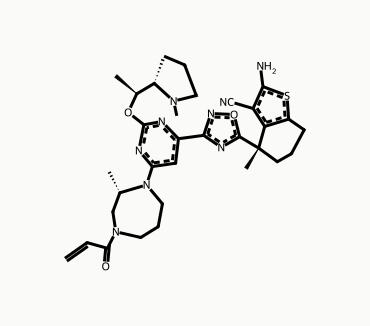 C=CC(=O)N1CCCN(c2cc(-c3noc([C@@]4(C)CCCc5sc(N)c(C#N)c54)n3)nc(O[C@@H](C)[C@@H]3CCCN3C)n2)[C@@H](C)C1